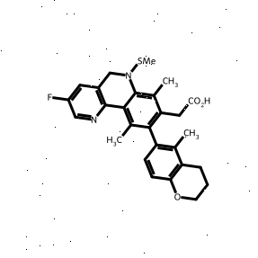 CSN1Cc2cc(F)cnc2-c2c(C)c(-c3ccc4c(c3C)CCCO4)c(CC(=O)O)c(C)c21